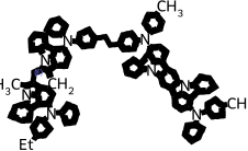 C=c1/c(=C\c2c(C)n3c4ccccc4c4c(N(c5ccccc5)c5ccc(CC)cc5)ccc2c43)n2c3ccccc3c3c(N(c4ccccc4)c4ccc(CCc5ccc(N(c6ccc(C)cc6)c6ccc7c8cc9c(cc8n8c%10ccccc%10c6c78)c6ccc(N(c7ccccc7)c7ccc(C)cc7)c7c8ccccc8n9c67)cc5)cc4)ccc1c32